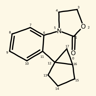 O=C1OCCN1c1ccccc1C12CCCC1C2